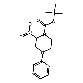 CC(C)(C)OC(=O)N1CCN(c2ccccn2)CC1[N+](=O)[O-]